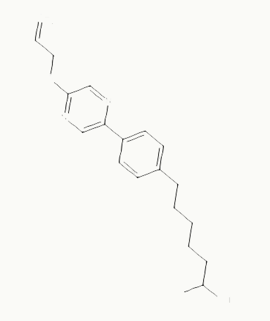 C=CCOc1cnc(-c2ccc(CCCCCC(C)F)cc2)cn1